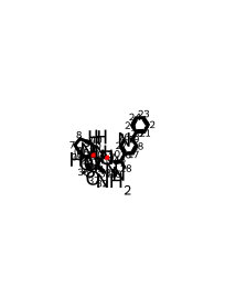 CONC(=O)N1[C@@H]2CC[C@H]1C[C@@H](c1nc3c(-c4ccc(-c5ccccc5)nc4)cnn3c(N)c1S(C)(=O)=O)C2